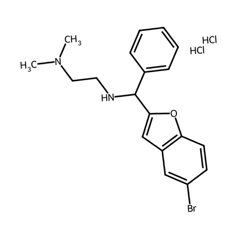 CN(C)CCNC(c1ccccc1)c1cc2cc(Br)ccc2o1.Cl.Cl